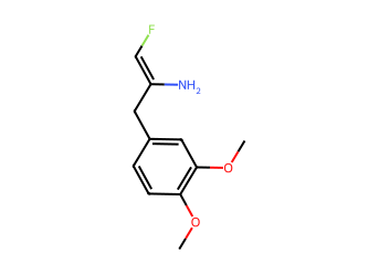 COc1ccc(CC(N)=CF)cc1OC